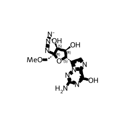 COC[C@@]1(N=[N+]=[N-])O[C@@H](c2cnc3c(O)nc(N)nn23)[C@H](O)[C@@H]1O